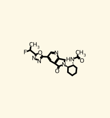 CC(=O)N[C@@H]1CCCC[C@H]1N1Cc2ncc(-c3nnc(C(C)F)o3)cc2C1=O